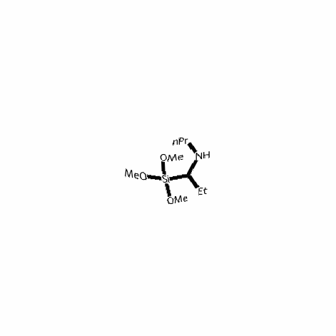 CCCNC(CC)[Si](OC)(OC)OC